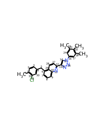 Cc1ccc(Cc2cccc3nc(-c4cn(-c5cc(C)c(C)c(C)c5)nn4)ccc23)cc1Cl